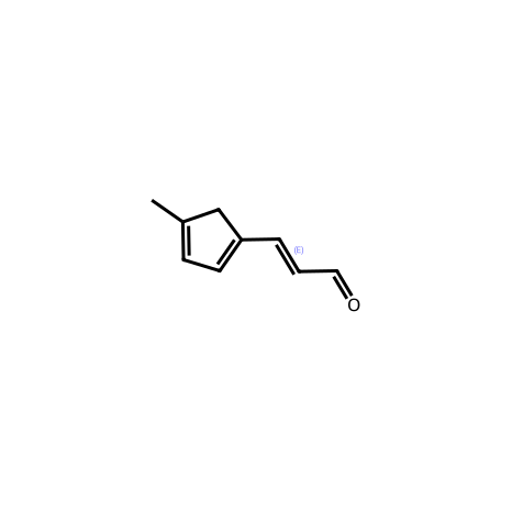 CC1=CC=C(/C=C/C=O)C1